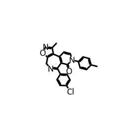 Cc1ccc(-n2ccc3c(c2=O)C(c2ccc(Cl)cc2)=NCc2onc(C)c2-3)cc1